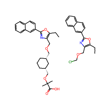 CCc1oc(-c2ccc3ccccc3c2)nc1COCCl.CCc1oc(-c2ccc3ccccc3c2)nc1COC[C@H]1CCC[C@@H](COC(C)(C)C(=O)O)C1